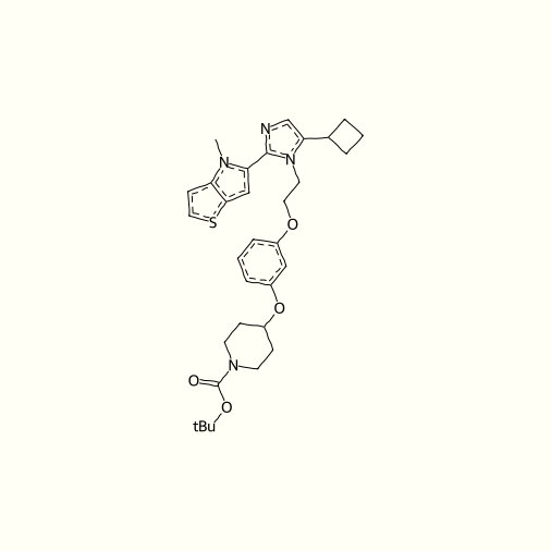 Cn1c(-c2ncc(C3CCC3)n2CCOc2cccc(OC3CCN(C(=O)OC(C)(C)C)CC3)c2)cc2sccc21